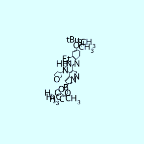 CCc1cc(O[Si](C)(C)C(C)(C)C)ccc1/N=C(\N)c1cnn2cc(B3OC(C)(C)C(C)(C)O3)cc2c1N[C@@H]1CCOC1